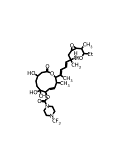 CCC(O)C(C)C1OC1CC(C)(O)/C=C/C=C(\C)C1OC(=O)CC(O)CCC(C)(O)C(OC(=O)N2CCN(C(F)(F)F)CC2)/C=C/C1C